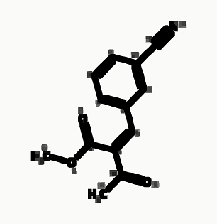 COC(=O)C(=Cc1cccc(C#N)c1)C(C)=O